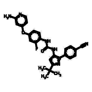 CC(C)(C)c1cc(NC(=O)Nc2ccc(Oc3ccnc(N)c3)cc2F)n(-c2ccc(C#N)cc2)n1